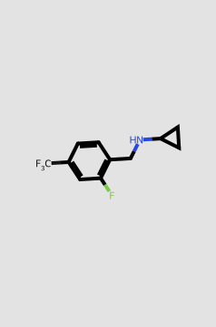 Fc1cc(C(F)(F)F)ccc1CNC1CC1